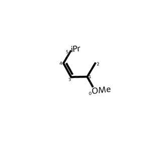 COC(C)/C=C\C(C)C